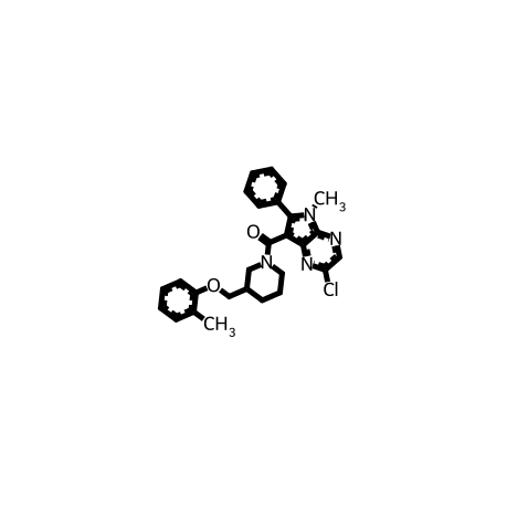 Cc1ccccc1OCC1CCCN(C(=O)c2c(-c3ccccc3)n(C)c3ncc(Cl)nc23)C1